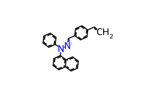 C=Cc1ccc(/C=N/N(c2ccccc2)c2cccc3ccccc23)cc1